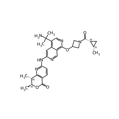 C[C@@H]1OC(=O)c2ccc(Nc3cc4c(C(C)(C)N)cnc(OC5CN(C(=O)[C@@H]6C[C@@H]6C)C5)c4cn3)nc2[C@H]1C